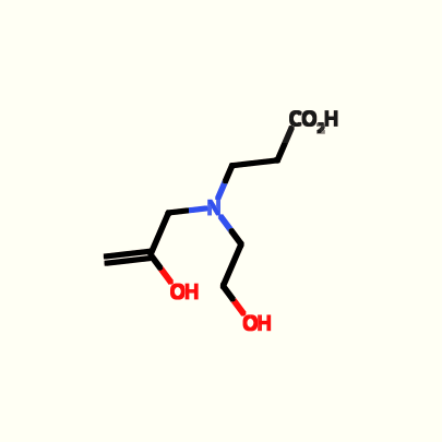 C=C(O)CN(CCO)CCC(=O)O